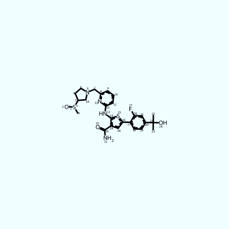 C[S+]([O-])C1CCN(Cc2cccc(Nc3sc(-c4ccc(C(C)(C)O)cc4F)cc3C(N)=O)n2)C1